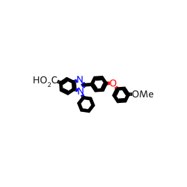 COc1cccc(Oc2ccc(-c3nc4cc(C(=O)O)ccc4n3C3CCCCC3)cc2)c1